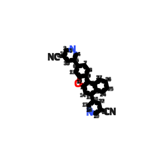 N#Cc1cncc(-c2ccc3c(c2)oc2cc(-c4cncc(C#N)c4)c4ccccc4c23)c1